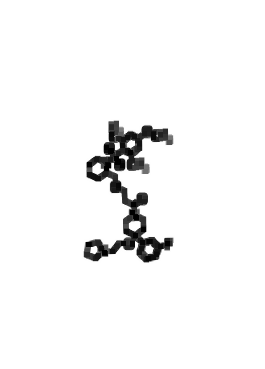 COc1cc(C)c(S(=O)(=O)N2CCCCC2COCCC(=O)N2CCC(OCCN3CCCC3)(c3cccc(F)c3)CC2)c(C)c1